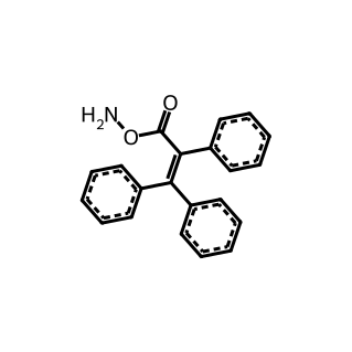 NOC(=O)C(=C(c1ccccc1)c1ccccc1)c1ccccc1